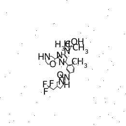 Cc1ccc(NC(=O)N2CCC(CC(F)(F)F)C2)cc1-c1cc(NCC(C)(C)O)nc(C2CNCCO2)n1